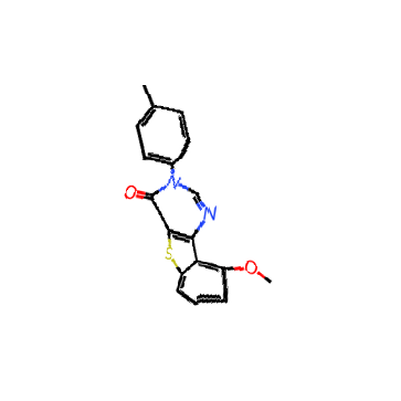 COc1cccc2sc3c(=O)n(-c4ccc(C)cc4)cnc3c12